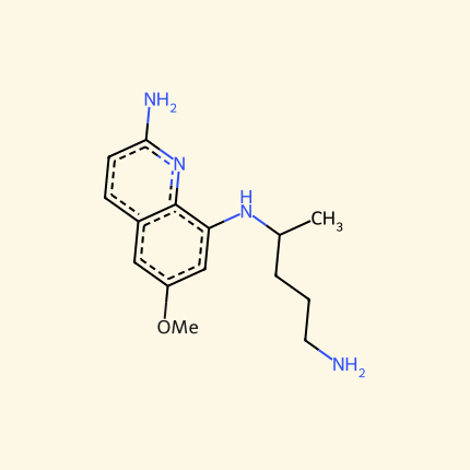 COc1cc(NC(C)CCCN)c2nc(N)ccc2c1